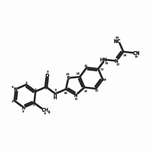 Cc1ncncc1C(=O)Nc1nc2ccc(NN=C(C#N)C#N)cc2s1